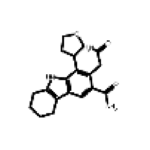 NC(=O)Cc1c(C(N)=O)cc2c3c([nH]c2c1C1CCOC1)CCCC3